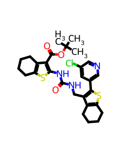 CC(C)(C)OC(=O)c1c(NC(=O)NCc2c(-c3cncc(Cl)c3)sc3c2CCCC3)sc2c1CCCC2